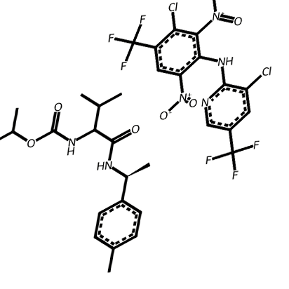 Cc1ccc([C@H](C)NC(=O)C(NC(=O)OC(C)C)C(C)C)cc1.O=[N+]([O-])c1cc(C(F)(F)F)c(Cl)c([N+](=O)[O-])c1Nc1ncc(C(F)(F)F)cc1Cl